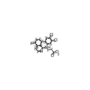 COC(=O)CCNc1ncnc2c(F)ccc(-c3ccc(Cl)c(Cl)c3)c12